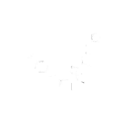 CC(NC(=O)Cn1cnnn1)[C@H]1C(=O)N2C(C(=O)OCc3ccc([N+](=O)[O-])cc3)=C(CO)[C@H](C)[C@H]12